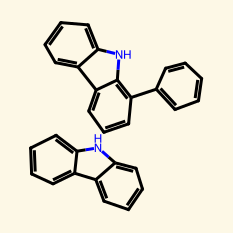 c1ccc(-c2cccc3c2[nH]c2ccccc23)cc1.c1ccc2c(c1)[nH]c1ccccc12